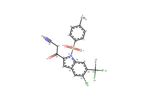 Cc1ccc(S(=O)(=O)n2c(C(=O)CC#N)cc3cc(Br)c(C(F)(F)F)cc32)cc1